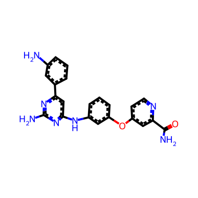 NC(=O)c1cc(Oc2cccc(Nc3cc(-c4cccc(N)c4)nc(N)n3)c2)ccn1